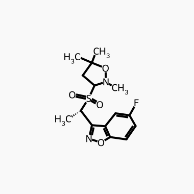 C[C@@H](c1noc2ccc(F)cc12)S(=O)(=O)C1CC(C)(C)ON1C